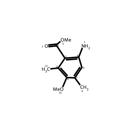 COC(=O)c1c(N)cc(C)c(OC)c1C